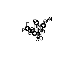 COC(=O)n1nc(NC(=O)c2ccc(OCCN(C)C)cc2NC2CCOCC2)c2cc(S(=O)(=O)c3cc(F)cc(F)c3)ccc21